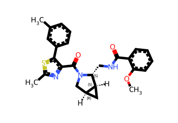 COc1ccccc1C(=O)NC[C@@H]1[C@H]2C[C@H]2CN1C(=O)c1nc(C)sc1-c1cccc(C)c1